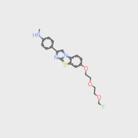 CNc1ccc(-c2cn3c(n2)sc2cc(OCCOCCOCF)ccc23)cc1